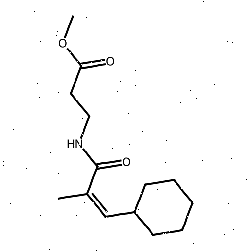 COC(=O)CCNC(=O)C(C)=CC1CCCCC1